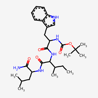 CCC(C)C(NC(=O)C(Cc1c[nH]c2ccccc12)NC(=O)OC(C)(C)C)C(=O)NC(CC(C)C)C(N)=O